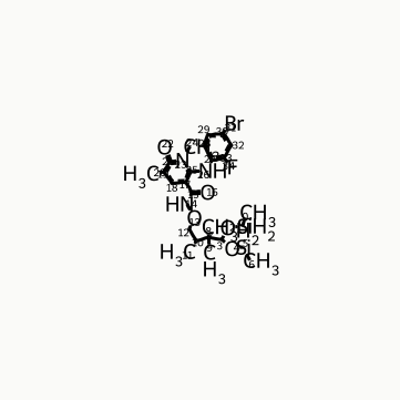 C[SiH2]OC(O[SiH2]C)C(C)(C)C(C)CONC(=O)c1cc(C)c(=O)n(C)c1Nc1ccc(Br)cc1F